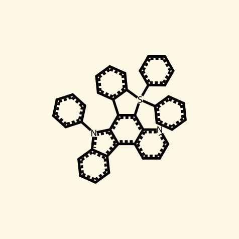 c1ccc(-n2c3ccccc3c3c4cccnc4c4c(c32)-c2ccccc2S4(c2ccccc2)c2ccccc2)cc1